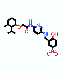 CC(C)C1C(C)CCCC1OCC(=O)Nc1ccc(NCc2cc([N+](=O)[O-])ccc2O)cn1